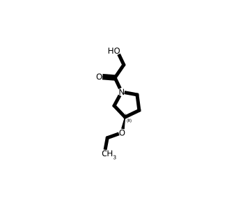 CCO[C@@H]1CCN(C(=O)CO)C1